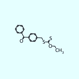 CCOC(=S)SCc1ccc(C(=O)c2ccccc2)cc1